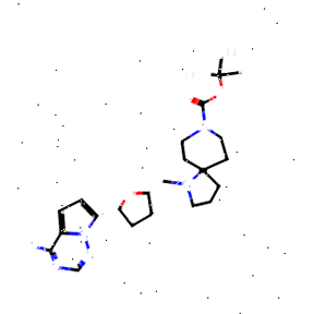 CC(C)(C)OC(=O)N1CCC2(CCCN2C[C@@H]2CC[C@H](c3ccc4c(N)ncnn34)O2)CC1